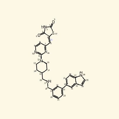 O=C1NC(=O)/C(=C\c2ccnc(N3CCC(CNCc4cccc(-c5ccc6[nH]ccc6c5)c4)CC3)n2)S1